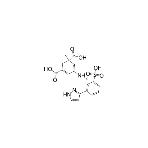 CC1(C(=O)O)C=C(N)C=C(C(=O)O)C1.O=S(=O)(O)c1cccc(-c2cc[nH]n2)c1